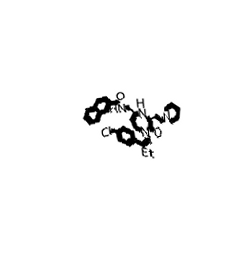 CC[C@H](CN1CC[C@@H](CNC(=O)c2ccc3ccccc3c2)N[C@@H](CCN2CCCCC2)C1=O)c1ccc(Cl)cc1